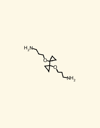 NCCCOC1(C2(OCCCN)CC2)CC1